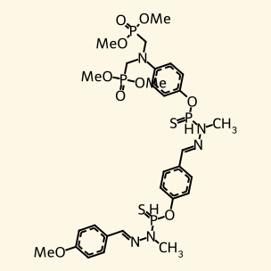 COc1ccc(/C=N/N(C)[PH](=S)Oc2ccc(/C=N/N(C)[PH](=S)Oc3ccc(N(CP(=O)(OC)OC)CP(=O)(OC)OC)cc3)cc2)cc1